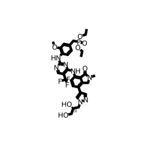 CCOP(=O)(Cc1ccc(Nc2ncc(C(F)(F)F)c(Nc3ccc(-c4cnn(C[C@H](O)CO)c4)c4c3C(=O)N(C)C4)n2)c(OC)c1)OCC